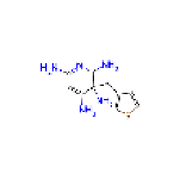 NC1=CC(N)=NC(N)C1(N)Cc1ccsc1